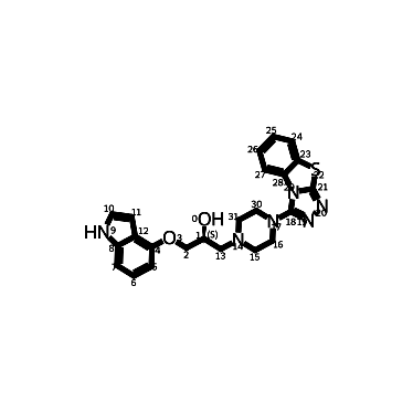 O[C@H](COc1cccc2[nH]ccc12)CN1CCN(c2nnc3sc4ccccc4n23)CC1